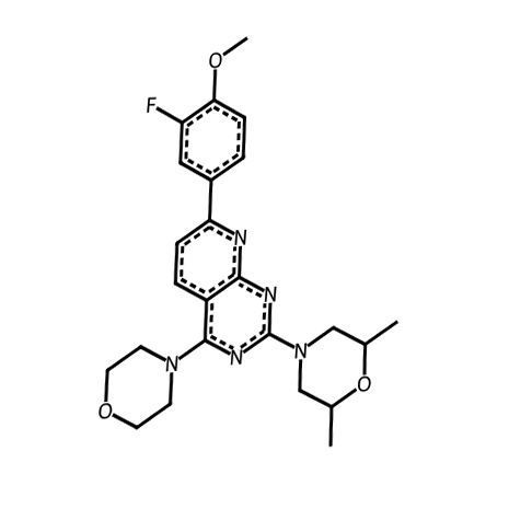 COc1ccc(-c2ccc3c(N4CCOCC4)nc(N4CC(C)OC(C)C4)nc3n2)cc1F